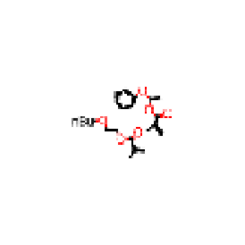 C=C(C)C(=O)OC(C)Oc1ccccc1.C=C(C)C(=O)OCCOCCCC